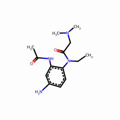 CCN(C(=O)CN(C)C)c1ccc(N)cc1NC(C)=O